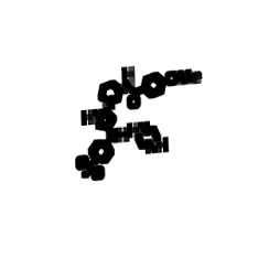 C1CNCCN1.COc1ccc(C(=O)N[C@@H]2CCCN(c3cc(Nc4ccc(S(C)(=O)=O)cc4)c[nH]3)C2)cc1